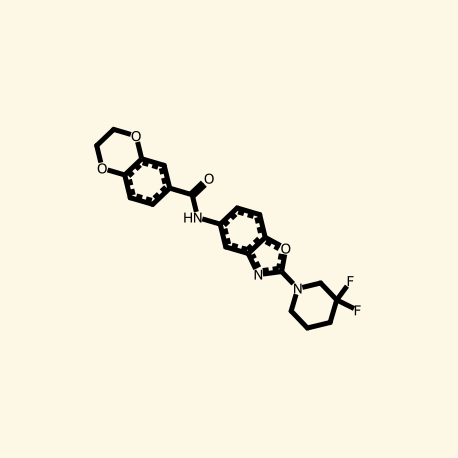 O=C(Nc1ccc2oc(N3CCCC(F)(F)C3)nc2c1)c1ccc2c(c1)OCCO2